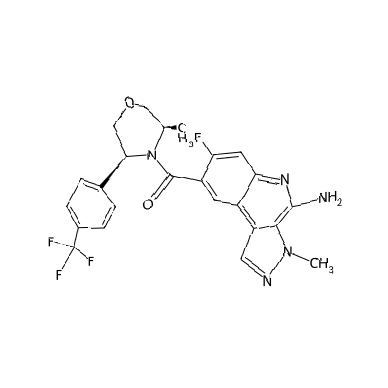 C[C@@H]1COC[C@H](c2ccc(C(F)(F)F)cc2)N1C(=O)c1cc2c(cc1F)nc(N)c1c2cnn1C